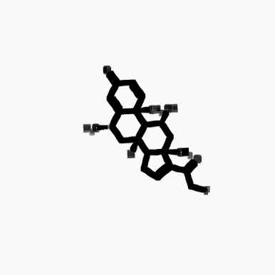 C[C@H]1C[C@@H]2C([C@@H](O)C[C@]3(C)C(C(=O)CF)=CCC23)[C@@]2(C)C=CC(=O)C=C12